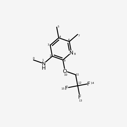 CNc1cc(C)c(C)nc1OCC(F)(F)F